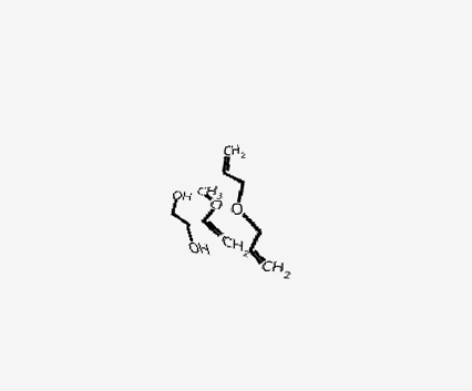 C=CCOCC=C.C=COC.OCCO